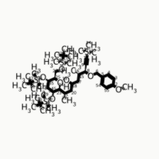 COc1ccc(CO[C@H](C#C[Si](C)(C)C)[C@@H](C)CC(O)C[C@H](C)[C@@H]2O[C@H](CO[Si](C)(C)C(C)(C)C)[C@H](O[Si](C)(C)C(C)(C)C)C[C@@H]2O[Si](C)(C)C(C)(C)C)cc1